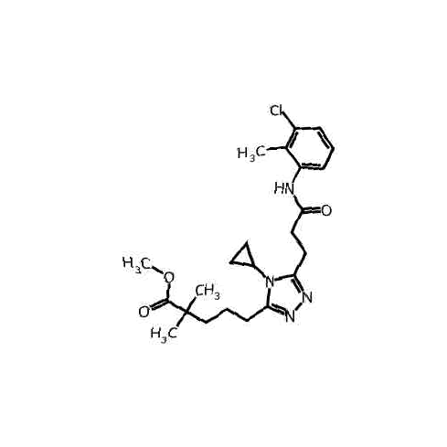 COC(=O)C(C)(C)CCCc1nnc(CCC(=O)Nc2cccc(Cl)c2C)n1C1CC1